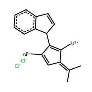 CCCC1=CC(=C(C)C)[C]([Zr+2])=C1C1C=Cc2ccccc21.[Cl-].[Cl-]